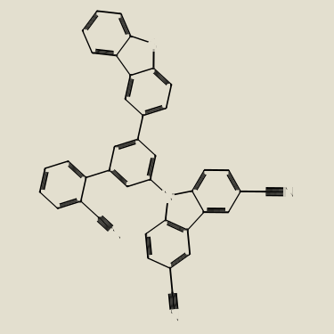 N#Cc1ccc2c(c1)c1cc(C#N)ccc1n2-c1cc(-c2ccc3sc4ccccc4c3c2)cc(-c2ccccc2C#N)c1